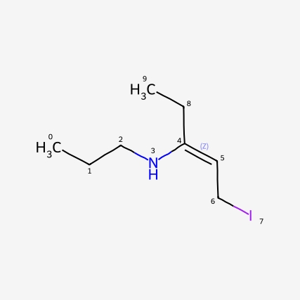 CCCN/C(=C\CI)CC